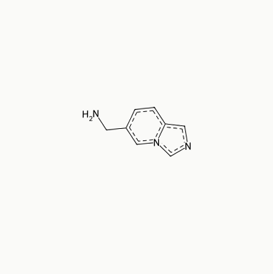 NCc1ccc2cncn2c1